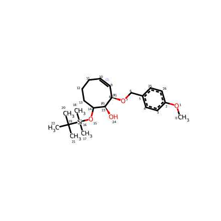 COc1ccc(CO[C@@H]2/C=C\CCCC(O[Si](C)(C)C(C)(C)C)[C@@H]2O)cc1